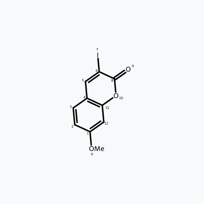 COc1ccc2cc(I)c(=O)oc2c1